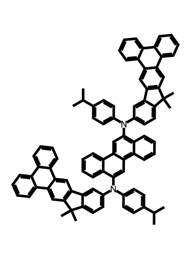 CC(C)c1ccc(N(c2ccc3c(c2)-c2cc4c5ccccc5c5ccccc5c4cc2C3(C)C)c2cc3c4ccccc4c(N(c4ccc(C(C)C)cc4)c4ccc5c(c4)-c4cc6c7ccccc7c7ccccc7c6cc4C5(C)C)cc3c3ccccc23)cc1